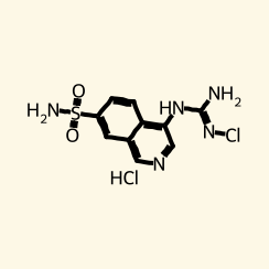 Cl.NC(=NCl)Nc1cncc2cc(S(N)(=O)=O)ccc12